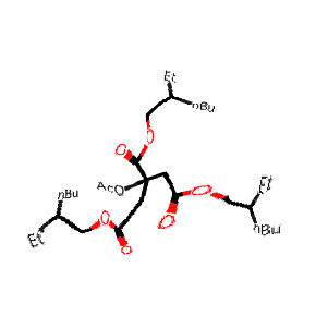 CCCCC(CC)COC(=O)CC(CC(=O)OCC(CC)CCCC)(OC(C)=O)C(=O)OCC(CC)CCCC